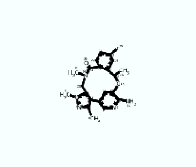 Cc1nn(C)c2c1-c1cnc(N)c(c1)OC(C)c1cc(F)ccc1C(=O)N(C)C2